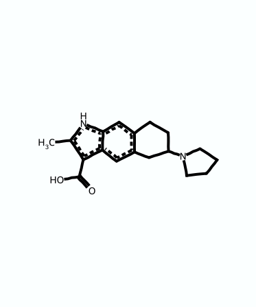 Cc1[nH]c2cc3c(cc2c1C(=O)O)CC(N1CCCC1)CC3